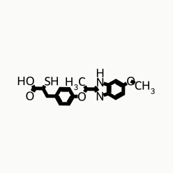 COc1ccc2nc(C(C)Oc3ccc(CC(S)C(=O)O)cc3)[nH]c2c1